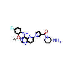 CC(C)Oc1cc(F)ccc1Nc1ncnc2ccc(-n3ccc(C(=O)N4CCC[C@@H](N)C4)c3)nc12